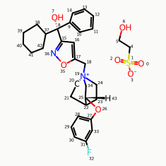 O=S(=O)([O-])CCO.O[C@](c1ccccc1)(c1cc(C[N+]23CCC(CC2)[C@@H](Oc2cccc(F)c2)C3)on1)C1CCCCC1